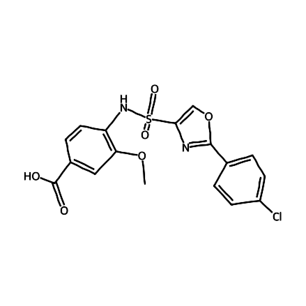 COc1cc(C(=O)O)ccc1NS(=O)(=O)c1coc(-c2ccc(Cl)cc2)n1